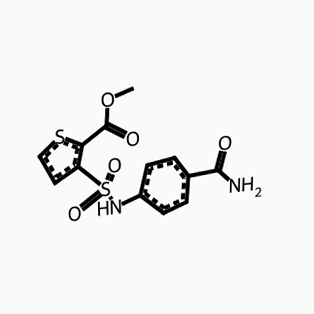 COC(=O)c1sccc1S(=O)(=O)Nc1ccc(C(N)=O)cc1